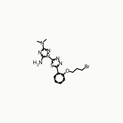 CN(C)c1nc(N)n(-c2nnc(-c3ccccc3OCCCBr)s2)n1